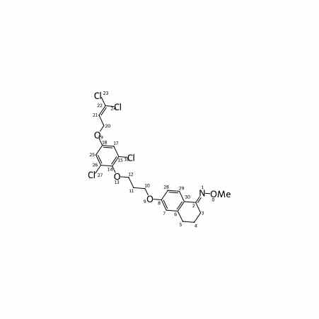 CON=C1CCCc2cc(OCCCOc3c(Cl)cc(OCC=C(Cl)Cl)cc3Cl)ccc21